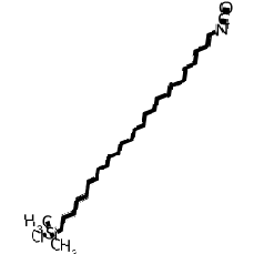 C[Si](C)(Cl)CCCCCCCCCCCCCCCCCCCCCCCCCCN=C=O